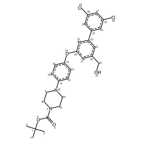 CC(C)(C)OC(=O)N1CCN(c2ccc(Oc3nc(CO)cc(-c4cc(Cl)cc(Cl)c4)n3)cn2)CC1